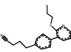 CCCSc1ncccc1-c1ccc(CCCC#N)cc1